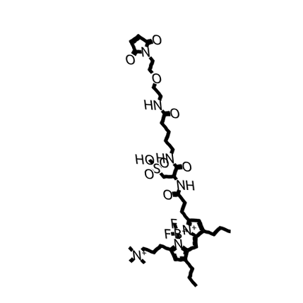 CCCC1=CC(CCC(=O)NC(CS(=O)(=O)O)C(=O)NCCCCC(=O)NCCOCCN2C(=O)C=CC2=O)=[N+]2C1=Cc1c(CCC)cc(CCC[N+](C)(C)C)n1[B-]2(F)F